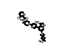 CC1(O)CC2(CN(c3cc(-c4ccc(N5CCC(C)(NC(=O)c6ncccc6Cl)CC5)nc4)c4c(C#N)cnn4c3)C2)C1